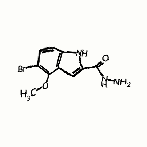 COc1c(Br)ccc2[nH]c(C(=O)NN)cc12